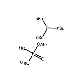 CCCCP(CCCC)CCCC.COP(=O)(O)OC